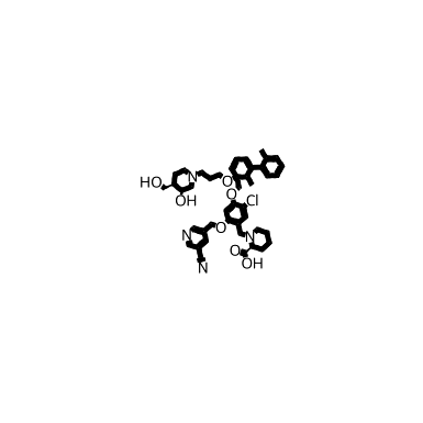 Cc1ccccc1C1=CC=CC(COc2cc(OCc3cncc(C#N)c3)c(CN3CCCC[C@H]3C(=O)O)cc2Cl)(OCCCN2CC[C@H](CO)[C@H](O)C2)C1C